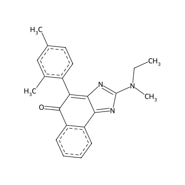 CCN(C)C1=NC2=C(c3ccc(C)cc3C)C(=O)c3ccccc3C2=N1